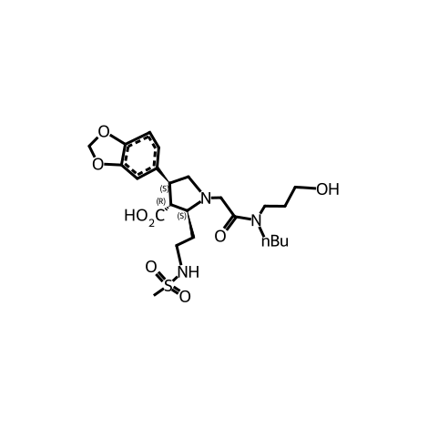 CCCCN(CCCO)C(=O)CN1C[C@H](c2ccc3c(c2)OCO3)[C@@H](C(=O)O)[C@@H]1CCNS(C)(=O)=O